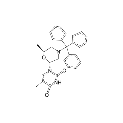 Cc1cn([C@H]2CN(C(c3ccccc3)(c3ccccc3)c3ccccc3)C[C@H](C)O2)c(=O)[nH]c1=O